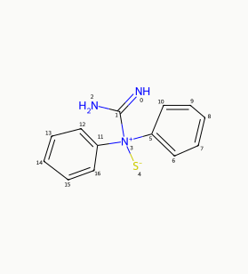 N=C(N)[N+]([S-])(c1ccccc1)c1ccccc1